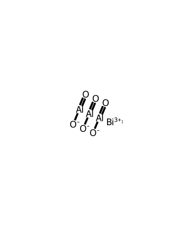 [Bi+3].[O]=[Al][O-].[O]=[Al][O-].[O]=[Al][O-]